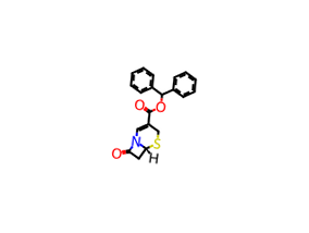 O=C(OC(c1ccccc1)c1ccccc1)C1=CN2C(=O)C[C@H]2SC1